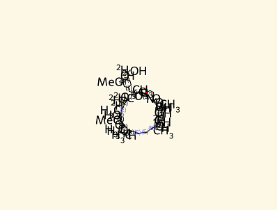 [2H]C([2H])([2H])O[C@H]1C[C@@H]2CC([2H])([2H])[C@@H](C)[C@@](O)(O2)C(=O)C(=O)N2CCCC[C@H]2C(=O)O[C@H]([C@H](C)C[C@@H]2CC[C@@H](OC([2H])([2H])CO)[C@H](OC)C2)CC(=O)[C@H](C([2H])([2H])[2H])/C=C(\C)[C@@H](O)[C@@H](OC)C(=O)[C@H](C)C([2H])(C)[C@]([2H])(C)/C=C/C=C/C=C/1C